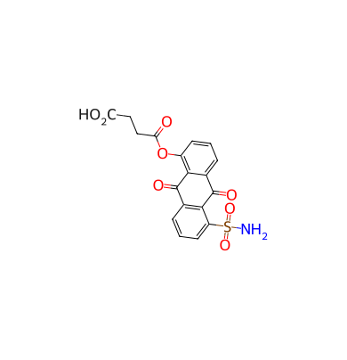 NS(=O)(=O)c1cccc2c1C(=O)c1cccc(OC(=O)CCC(=O)O)c1C2=O